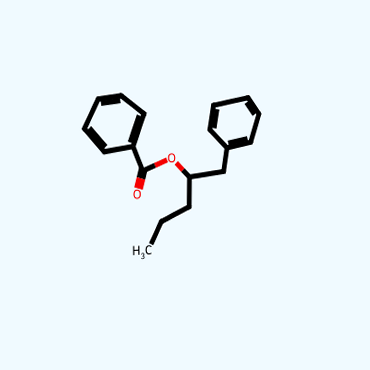 CCCC(Cc1ccccc1)OC(=O)c1ccccc1